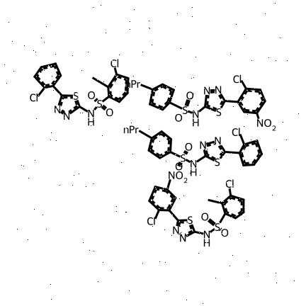 CCCc1ccc(S(=O)(=O)Nc2nnc(-c3cc([N+](=O)[O-])ccc3Cl)s2)cc1.CCCc1ccc(S(=O)(=O)Nc2nnc(-c3ccccc3Cl)s2)cc1.Cc1c(Cl)cccc1S(=O)(=O)Nc1nnc(-c2cc([N+](=O)[O-])ccc2Cl)s1.Cc1c(Cl)cccc1S(=O)(=O)Nc1nnc(-c2ccccc2Cl)s1